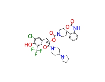 O=C1Nc2ccccc2C2(CCN(C(=O)O[C@H](Cc3cc(Cl)c(O)c(C(F)(F)F)c3)C(=O)N3CCC(N4CCCC4)CC3)CC2)O1